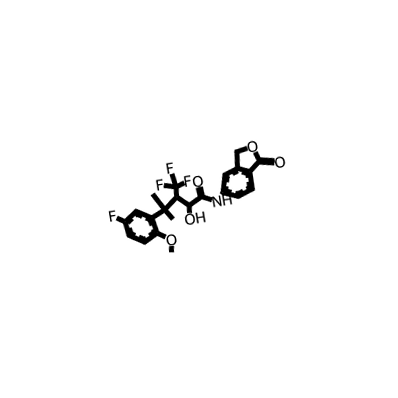 COc1ccc(F)cc1C(C)(C)C(C(O)C(=O)Nc1ccc2c(c1)COC2=O)C(F)(F)F